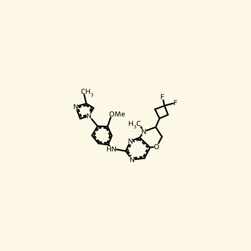 COc1cc(Nc2ncc3c(n2)N(C)C(C2CC(F)(F)C2)CO3)ccc1-n1cnc(C)c1